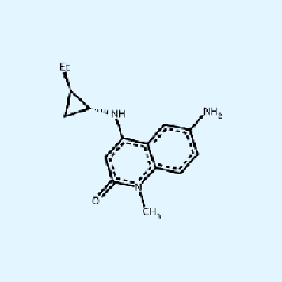 CC[C@@H]1C[C@H]1Nc1cc(=O)n(C)c2ccc(N)cc12